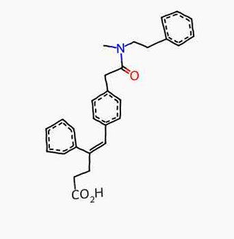 CN(CCc1ccccc1)C(=O)Cc1ccc(C=C(CCC(=O)O)c2ccccc2)cc1